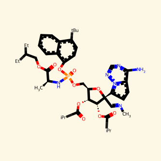 CCC(CC)COC(=O)[C@H](C)NP(=O)(OC[C@H]1O[C@@](C=NC)(c2ccc3c(N)ncnn23)[C@H](OC(=O)C(C)C)[C@@H]1OC(=O)C(C)C)Oc1ccc(C(C)(C)C)c2ccccc12